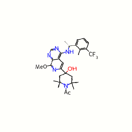 COc1nc(C2(O)CC(C)(C)N(C(C)=O)C(C)(C)C2)cc2c(N[C@H](C)c3cccc(C(F)(F)F)c3C)ncnc12